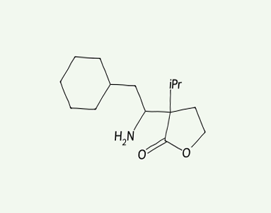 CC(C)C1(C(N)CC2CCCCC2)CCOC1=O